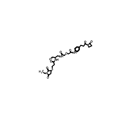 CCN1C(=O)CC(SCCC(=O)NC(C=O)CNC(=O)COCC(=O)Nc2ccc(CCC(=O)N3CCC3=O)cc2)C1=O